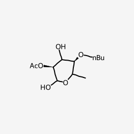 CCCCO[C@H]1C(C)OC(O)[C@@H](OC(C)=O)C1O